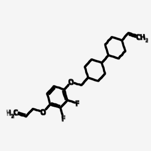 C=CCOc1ccc(OCC2CCC(C3CCC(C=C)CC3)CC2)c(F)c1F